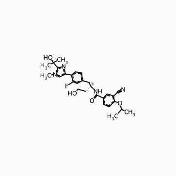 CC(C)Oc1ccc(C(=O)N[C@H](CCO)Cc2ccc(-c3cn(C)c(C(C)(C)O)n3)c(F)c2)cc1C#N